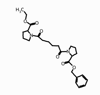 CCOC(=O)C1CCCN1C(=O)CCCCC(=O)N1CCCC1C(=O)OCc1ccccc1